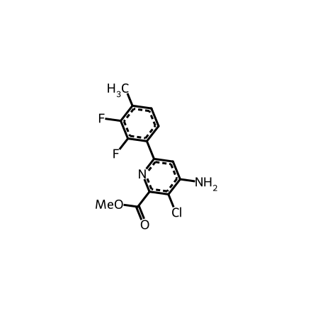 COC(=O)c1nc(-c2ccc(C)c(F)c2F)cc(N)c1Cl